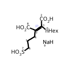 CCCCCC/C(C(=O)O)=C(\CCCS(=O)(=O)O)C(=O)O.[NaH]